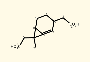 CC1(CC(=O)O)C2=CC(CC(=O)O)CCC21